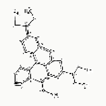 CCN(CC)c1ccc2c(-c3ccc#cc3C(=O)OC)c3ccc(=[N+](CC)CC)cc-3oc2c1